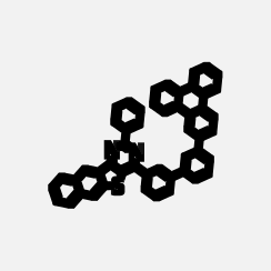 c1ccc(-c2nc(-c3cccc(-c4cccc(-c5ccc6c7ccccc7c7ccccc7c6c5)c4)c3)c3sc4cc5ccccc5cc4c3n2)cc1